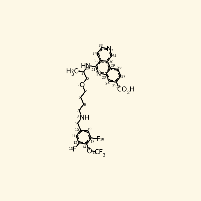 C[C@H](COCCCCNCc1cc(F)c(OC(F)(F)F)c(F)c1)Nc1nc2cc(C(=O)O)ccc2c2cnccc12